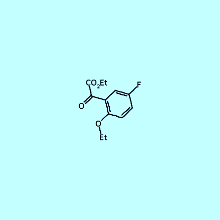 CCOC(=O)C(=O)c1cc(F)ccc1OCC